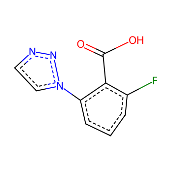 O=C(O)c1c(F)cccc1-n1ccnn1